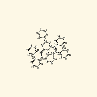 c1ccc(-c2cc3c4c(c2)B2c5ccccc5-c5ccccc5N2c2cccc(c2-4)N2B3c3ccccc3-c3ccccc32)cc1